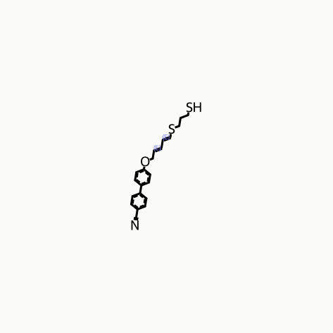 N#Cc1ccc(-c2ccc(OC/C=C/C=C/SCCCS)cc2)cc1